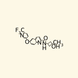 CC1(O)CC(NC(=O)c2ccc3cc(Oc4ccc(C(F)(F)F)nc4)ccc3n2)C1